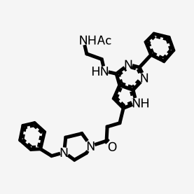 CC(=O)NCCNc1nc(-c2ccccc2)nc2[nH]c(CCC(=O)N3CCN(Cc4ccccc4)CC3)cc12